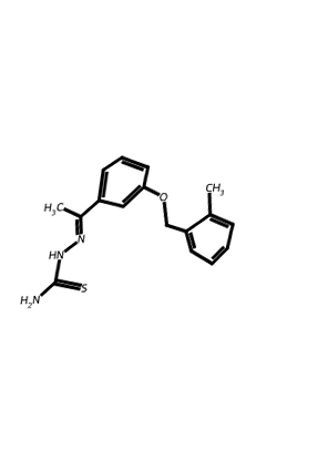 CC(=NNC(N)=S)c1cccc(OCc2ccccc2C)c1